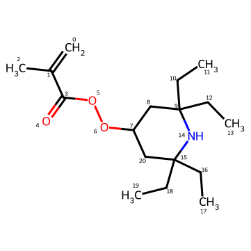 C=C(C)C(=O)OOC1CC(CC)(CC)NC(CC)(CC)C1